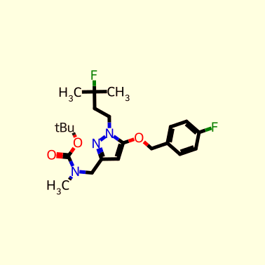 CN(Cc1cc(OCc2ccc(F)cc2)n(CCC(C)(C)F)n1)C(=O)OC(C)(C)C